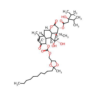 CCCCCCCCCCC1(C)OCC(COC(=O)O[C@@H]2C(=O)C=C(C)[C@@H]3C[C@H]4OC(=O)[C@H](OC(=O)CC(O)(C(C)C)C(C)C)[C@H]5[C@@H](C)[C@@H](O)[C@]6(O)CCC[C@@]54[C@H]6[C@@]23C)O1